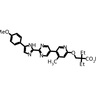 CCC(CC)(COc1cc(C)c(-c2cnc(-c3ncc(-c4ccc(OC)cc4)[nH]3)nc2)cn1)C(=O)O